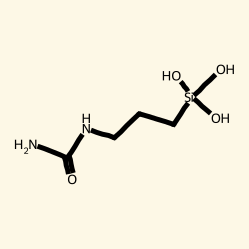 NC(=O)NCCC[Si](O)(O)O